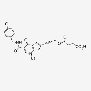 CCn1cc(C(=O)NCc2ccc(Cl)cc2)c(=O)c2cc(C#CCOC(=O)CCC(=O)O)sc21